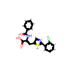 O=C(O)C(=Cc1cnc(-c2ccccc2Cl)s1)NC(=O)c1ccccc1